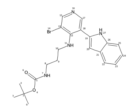 CC(C)(C)OC(=O)NCCCNc1c(Br)cncc1-c1cc2ccccc2[nH]1